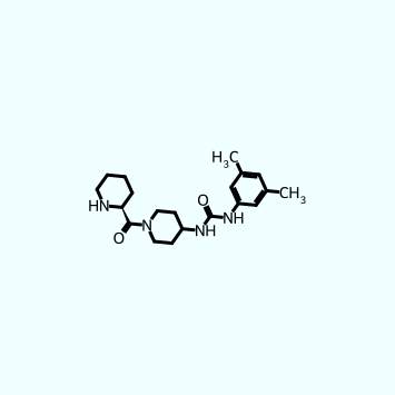 Cc1cc(C)cc(NC(=O)NC2CCN(C(=O)[C@@H]3CCCCN3)CC2)c1